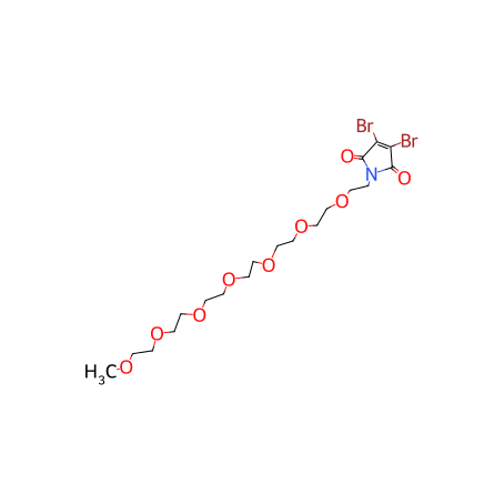 COCCOCCOCCOCCOCCOCCOCCN1C(=O)C(Br)=C(Br)C1=O